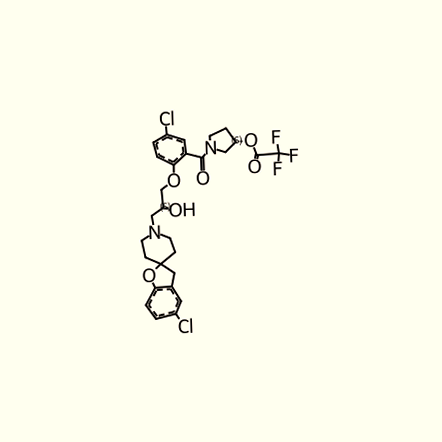 O=C(c1cc(Cl)ccc1OC[C@@H](O)CN1CCC2(CC1)Cc1cc(Cl)ccc1O2)N1CC[C@H](OC(=O)C(F)(F)F)C1